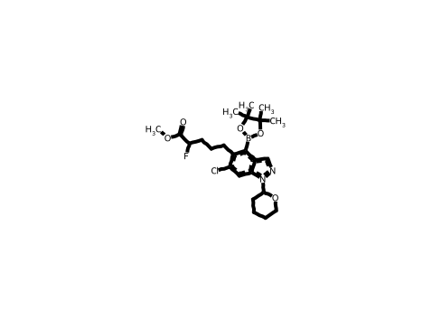 COC(=O)C(F)CCCc1c(Cl)cc2c(cnn2C2CCCCO2)c1B1OC(C)(C)C(C)(C)O1